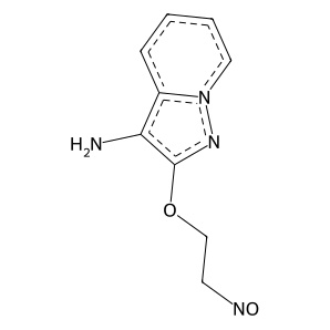 Nc1c(OCCN=O)nn2ccccc12